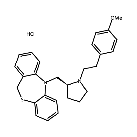 COc1ccc(CCN2CCC[C@H]2CN2c3ccccc3CSc3ccccc32)cc1.Cl